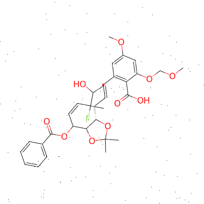 COCOc1cc(OC)cc(/C=C/C[C@@H]2OC(C)(C)OC2C(/C=C\C(C)(F)C(C)O)OC(=O)c2ccccc2)c1C(=O)O